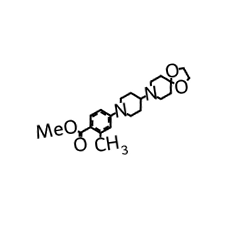 COC(=O)c1ccc(N2CCC(N3CCC4(CC3)OCCO4)CC2)cc1C